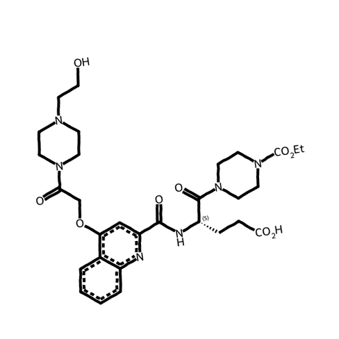 CCOC(=O)N1CCN(C(=O)[C@H](CCC(=O)O)NC(=O)c2cc(OCC(=O)N3CCN(CCO)CC3)c3ccccc3n2)CC1